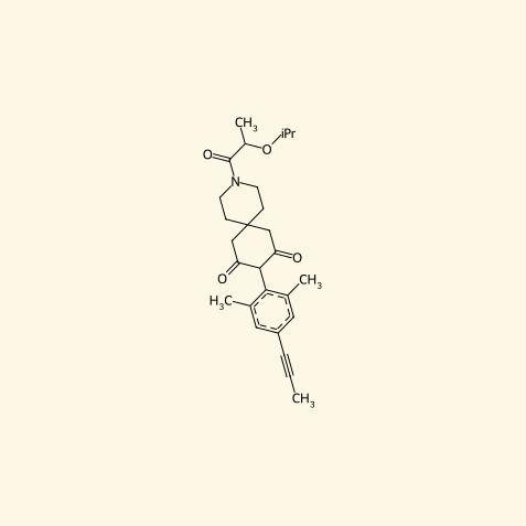 CC#Cc1cc(C)c(C2C(=O)CC3(CCN(C(=O)C(C)OC(C)C)CC3)CC2=O)c(C)c1